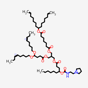 C=CCCCCCC(CCCCCC=C)OC(=O)CCCCCC(=O)OCC(COC(=O)CCC(CCCCCC)OC(=O)NCCN1CCCC1)COC(=O)CCC(OCCCC/C=C\CC)OCCCC/C=C\CC